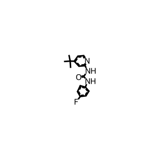 CC(C)(C)c1ccnc(NC(=O)Nc2ccc(F)cc2)c1